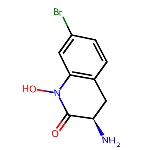 N[C@@H]1Cc2ccc(Br)cc2N(O)C1=O